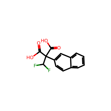 O=C(O)C(C(=O)O)(c1ccc2ccccc2c1)C(F)F